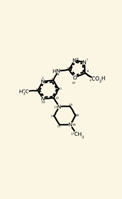 Cc1nc(Nc2nnc(C(=O)O)o2)cc(N2CCN(C)CC2)n1